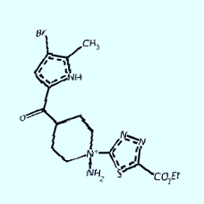 CCOC(=O)c1nnc([N+]2(N)CCC(C(=O)c3cc(Br)c(C)[nH]3)CC2)s1